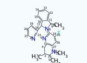 C=C1C(C)Cc2nc(N3C(=C)c4ccccc4C3c3cccnc3)c(F)cc2N1C